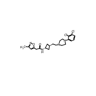 Cc1cc(CC(=O)N[C@H]2C[C@H](CCN3CCN(c4cccc(Cl)c4Cl)CC3)C2)on1